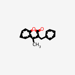 Cc1c(Cc2ccccc2)c(=O)oc2ccccc12